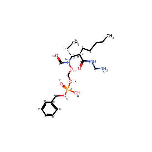 CCCCC[C@@H](C(=O)NCN)[C@@H](CC)N(C=O)OCOP(=O)(O)OCc1ccccc1